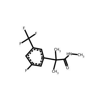 CNC(=O)C(C)(C)c1cc(F)cc(C(F)(F)F)c1